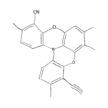 C#Cc1c(C)ccc2c1Oc1c(C)c(C)cc3c1B2c1ccc(C)c(C#N)c1O3